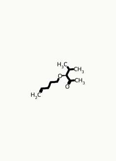 C=CCCCO[C@H](C(C)=O)C(C)C